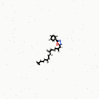 CC(C)=CCCC(C)=CCCC(C)=CCCC(C)=Cc1nnc(-c2ccccc2)o1